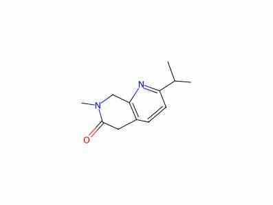 CC(C)c1ccc2c(n1)CN(C)C(=O)C2